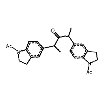 CC(=O)N1CCc2cc(C(C)C(=O)C(C)c3ccc4c(c3)CCN4C(C)=O)ccc21